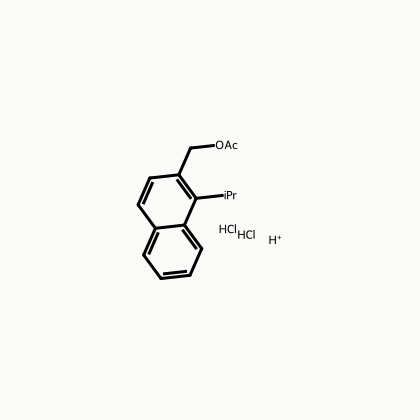 CC(=O)OCc1ccc2ccccc2c1C(C)C.Cl.Cl.[H+]